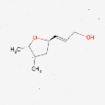 CC1C[C@H](/C=C/CO)O[C@H]1C